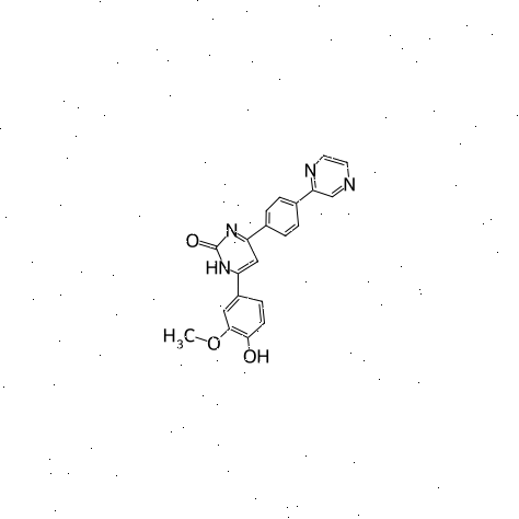 COc1cc(-c2cc(-c3ccc(-c4cnccn4)cc3)nc(=O)[nH]2)ccc1O